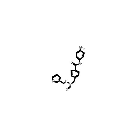 Nc1ccc(NC(=O)c2ccc(CN(C=O)OCc3cccnc3)cc2)cc1